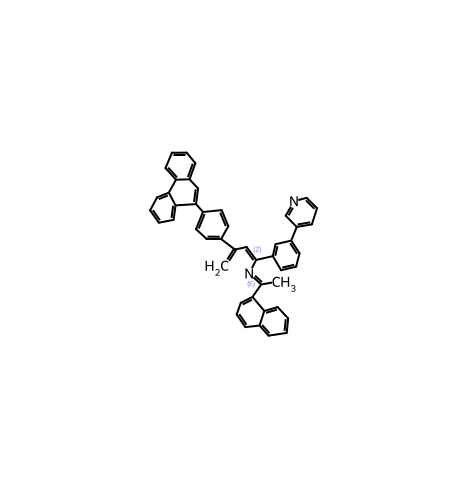 C=C(/C=C(\N=C(/C)c1cccc2ccccc12)c1cccc(-c2cccnc2)c1)c1ccc(-c2cc3ccccc3c3ccccc23)cc1